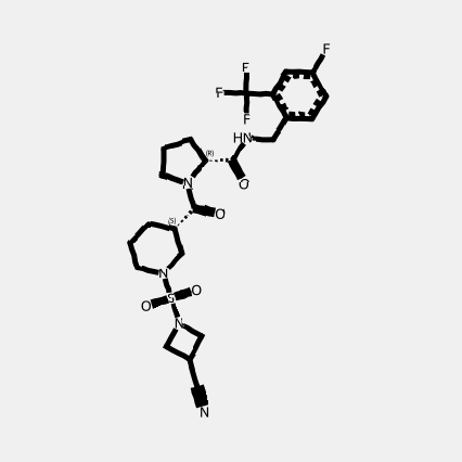 N#CC1CN(S(=O)(=O)N2CCC[C@H](C(=O)N3CCC[C@@H]3C(=O)NCc3ccc(F)cc3C(F)(F)F)C2)C1